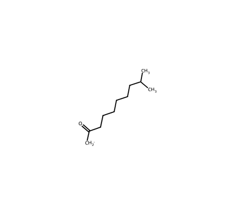 [CH2]C(=O)CCCCCCC(C)C